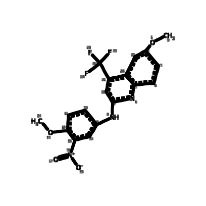 COc1ccc2nc(Nc3ccc(OC)c([N+](=O)[O-])c3)cc(C(F)(F)F)c2c1